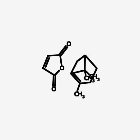 CC1=C2CC(CC1)C2(C)C.O=C1C=CC(=O)O1